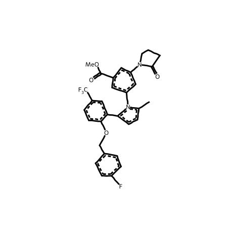 COC(=O)c1cc(N2CCCC2=O)cc(-n2c(C)ccc2-c2cc(C(F)(F)F)ccc2OCc2ccc(F)cc2)c1